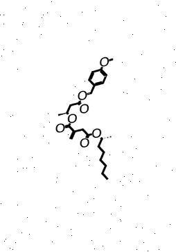 C=C(CC(=O)O[C@H](C)CCCCCC)C(=O)O[C@@H](C)CC(=O)OCc1ccc(OC)cc1